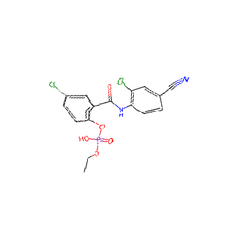 CCOP(=O)(O)Oc1ccc(Cl)cc1C(=O)Nc1ccc(C#N)cc1Cl